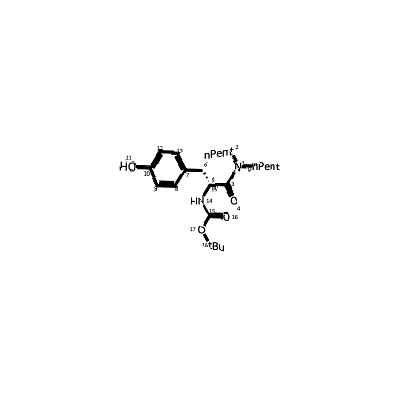 CCCCCN(CCCCC)C(=O)[C@@H](Cc1ccc(O)cc1)NC(=O)OC(C)(C)C